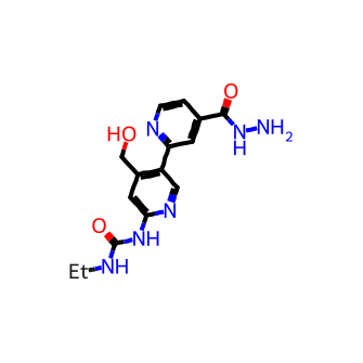 CCNC(=O)Nc1cc(CO)c(-c2cc(C(=O)NN)ccn2)cn1